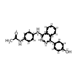 CC(=O)Nc1ccc(Nc2nnc(-c3ccc(O)cc3)c3ccccc23)cc1